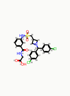 O=C(O)CNC(=O)c1cccc(NS(=O)(=O)CC2CN(C(c3ccc(Cl)cc3)c3ccc(Cl)cc3)C2)c1